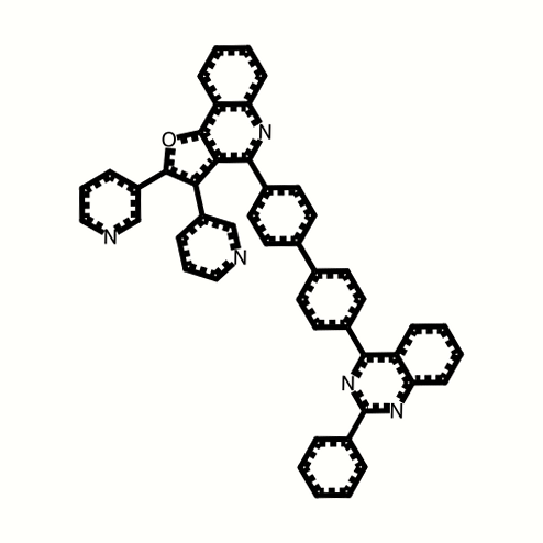 c1ccc(-c2nc(-c3ccc(-c4ccc(-c5nc6ccccc6c6oc(-c7cccnc7)c(-c7cccnc7)c56)cc4)cc3)c3ccccc3n2)cc1